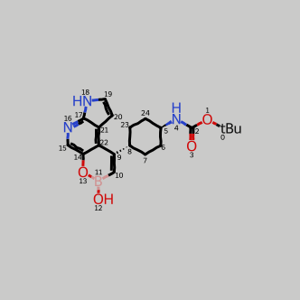 CC(C)(C)OC(=O)N[C@H]1CC[C@H](C2=CB(O)Oc3cnc4[nH]ccc4c32)CC1